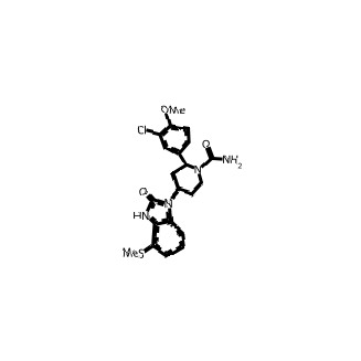 COc1ccc(C2CC(n3c(=O)[nH]c4c(SC)cccc43)CCN2C(N)=O)cc1Cl